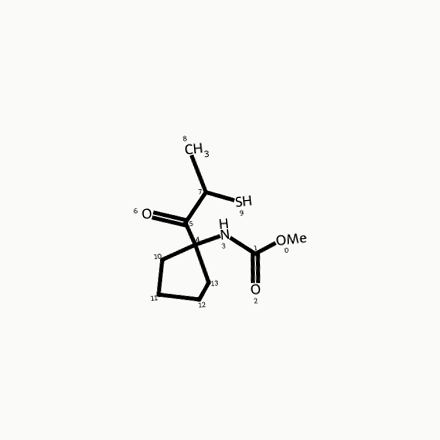 COC(=O)NC1(C(=O)C(C)S)CCCC1